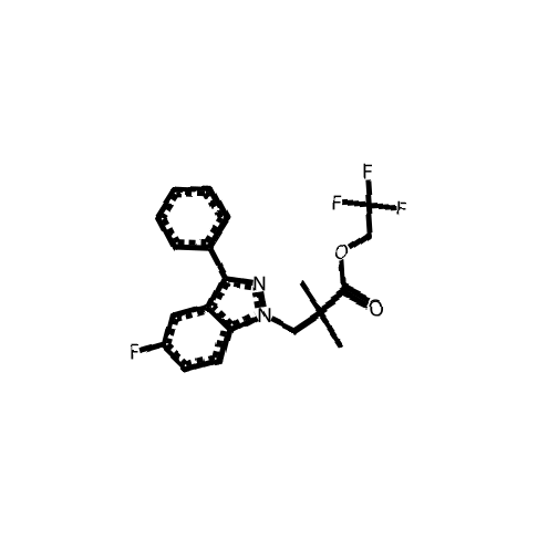 CC(C)(Cn1nc(-c2ccccc2)c2cc(F)ccc21)C(=O)OCC(F)(F)F